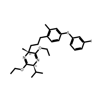 CCOC1=N[C@](C)(CCCc2ccc(Sc3cccc(I)c3)cc2C)C(OCC)=N[C@H]1C(C)C